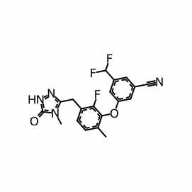 Cc1ccc(Cc2n[nH]c(=O)n2C)c(F)c1Oc1cc(C#N)cc(C(F)F)c1